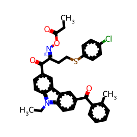 CCC(=O)O/N=C(\CCSc1ccc(Cl)cc1)C(=O)c1ccc2c(c1)c1cc(C(=O)c3ccccc3C)ccc1n2CC